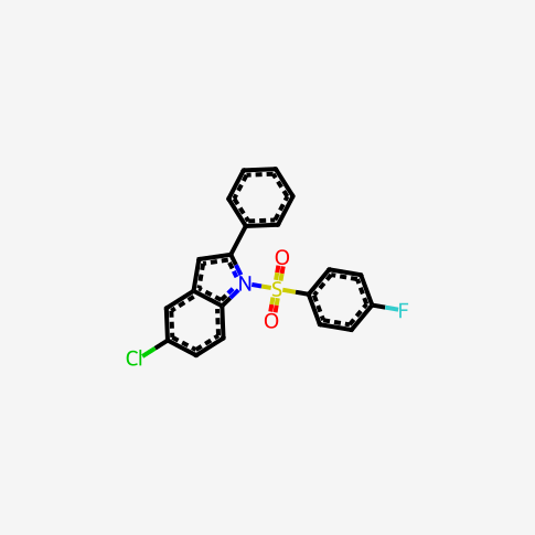 O=S(=O)(c1ccc(F)cc1)n1c(-c2ccccc2)cc2cc(Cl)ccc21